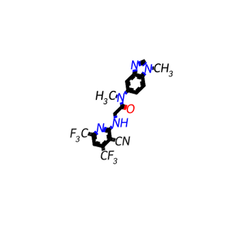 CN(C(=O)CNc1nc(C(F)(F)F)cc(C(F)(F)F)c1C#N)c1ccc2c(c1)ncn2C